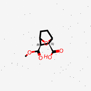 COC(=O)[C@H]1C2CCC(O2)[C@H]1C(=O)O